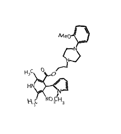 COc1ccccc1N1CCN(CCOC(=O)C2=C(C)NC(C)=C([N+](=O)[O-])C2c2cccn2C)CC1